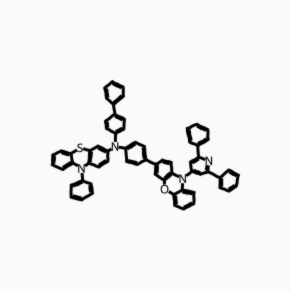 c1ccc(-c2ccc(N(c3ccc(-c4ccc5c(c4)Oc4ccccc4N5c4cc(-c5ccccc5)nc(-c5ccccc5)c4)cc3)c3ccc4c(c3)Sc3ccccc3N4c3ccccc3)cc2)cc1